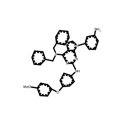 COc1ccc(Oc2ccc(Nc3nc(N(Cc4ccccc4)Cc4ccccc4)c4ncn(-c5cccc(N)c5)c4n3)cc2)cc1